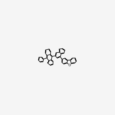 c1ccc(-c2c3ccccc3c(-c3cc(-c4ccc5oc6ccccc6c5c4)c4ccccc4c3)c3ccccc23)cc1